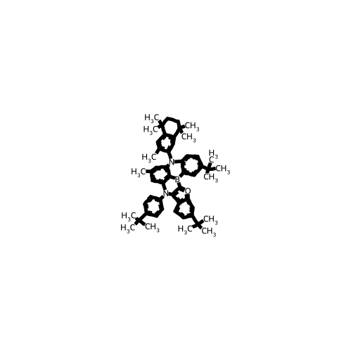 Cc1cc2c3c(c1)N(c1ccc(C(C)(C)C)cc1)c1c(oc4cc(C(C)(C)C)ccc14)B3c1cc(C(C)(C)C)ccc1N2c1cc2c(cc1C)C(C)(C)CCC2(C)C